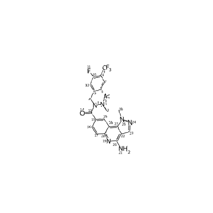 CC(=O)N(C)N(Cc1ccc(C(F)(F)F)c(F)c1)C(=O)c1ccc2nc(N)c3cnn(C)c3c2c1